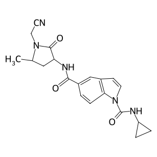 CC1CC(NC(=O)c2ccc3c(ccn3C(=O)NC3CC3)c2)C(=O)N1CC#N